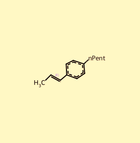 C/C=[C]/c1ccc(CCCCC)cc1